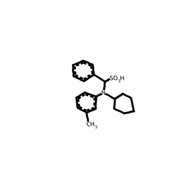 Cc1cccc(N(C2CCCCC2)C(c2ccccc2)S(=O)(=O)O)c1